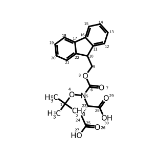 CC(C)(C)ON(C(=O)OCC1c2ccccc2-c2ccccc21)[C@@H](CC(=O)O)C(=O)O